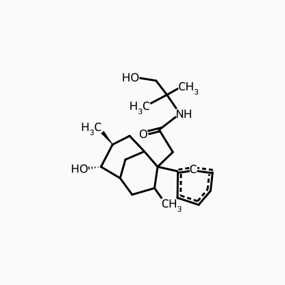 CC1CC2CC(C[C@H](C)[C@H]2O)C1(CC(=O)NC(C)(C)CO)c1ccccc1